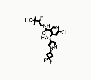 CC(C)(O)C(F)CNC(=O)c1cnc(Cl)cc1[AsH]c1cnn(C2CC(F)(F)C2)c1